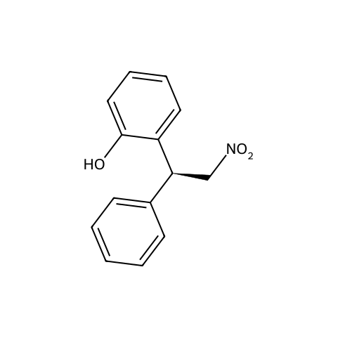 O=[N+]([O-])C[C@@H](c1ccccc1)c1ccccc1O